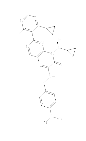 Cc1ncnc(C2CC2)c1-c1ncc2nc(NCc3ccc([S+](N)[O-])cc3)c(=O)n([C@@H](C)C3CC3)c2n1